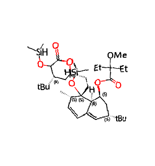 CCC(CC)(OC)C(=O)O[C@H]1C[C@H](C(C)(C)C)C=C2C=C[C@H](C)[C@](CC[C@@H]3C[C@H](C(C)(C)C)C(O[SiH](C)C)C(=O)O3)(O[SiH](C)C)[C@H]21